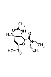 CCN(CC)C(=O)[C@@H]1OC(C(=O)O)=C[C@H](N)[C@H]1NC(C)=O